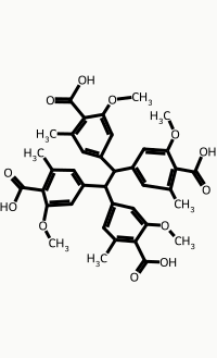 COc1cc(C(c2cc(C)c(C(=O)O)c(OC)c2)C(c2cc(C)c(C(=O)O)c(OC)c2)c2cc(C)c(C(=O)O)c(OC)c2)cc(C)c1C(=O)O